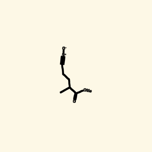 COC(=O)C(C)CCC#[N+][O-]